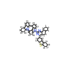 c1ccc2c(c1)ccc1c(-c3ccc4sc5ccccc5c4c3)nc(-n3c4cccc5c6cccc7c8ccccc8n(c8cccc3c8c54)c67)nc12